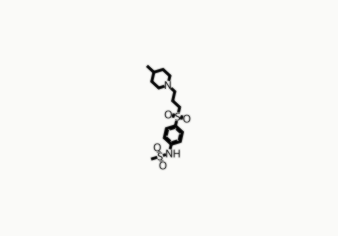 CC1CCN(CCCS(=O)(=O)c2ccc(NS(C)(=O)=O)cc2)CC1